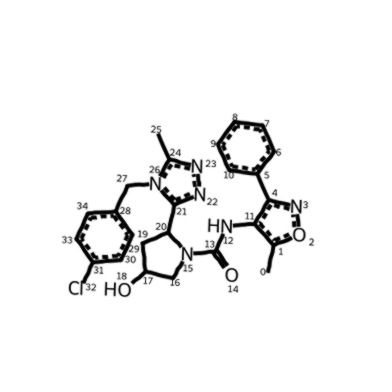 Cc1onc(-c2ccccc2)c1NC(=O)N1CC(O)CC1c1nnc(C)n1Cc1ccc(Cl)cc1